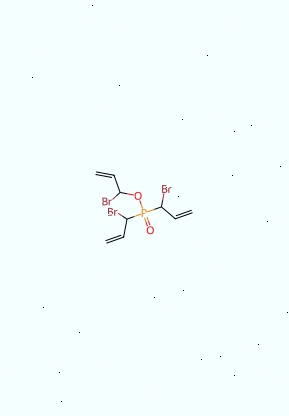 C=CC(Br)OP(=O)(C(Br)C=C)C(Br)C=C